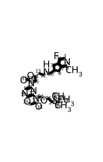 Cc1ncc(F)c2c1CC(CNCC[C@@H]1CN(c3cnc4c(n3)N(COCC[Si](C)(C)C)C(=O)CO4)C(=O)O1)C2